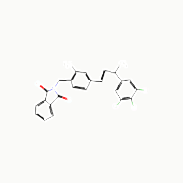 O=C1c2ccccc2C(=O)N1Cc1ccc(/C=C/C(c2cc(Cl)c(Cl)c(Cl)c2)C(F)(F)F)cc1C(F)(F)F